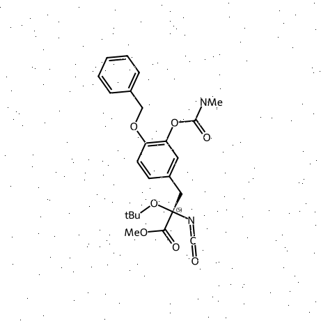 CNC(=O)Oc1cc(C[C@](N=C=O)(OC(C)(C)C)C(=O)OC)ccc1OCc1ccccc1